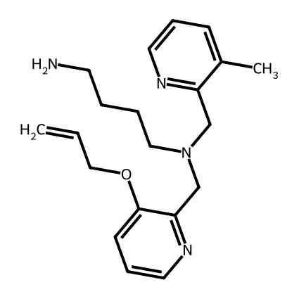 C=CCOc1cccnc1CN(CCCCN)Cc1ncccc1C